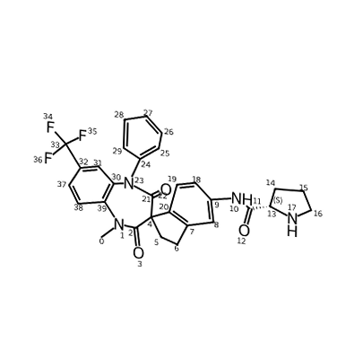 CN1C(=O)C2(CCc3cc(NC(=O)[C@@H]4CCCN4)ccc32)C(=O)N(c2ccccc2)c2cc(C(F)(F)F)ccc21